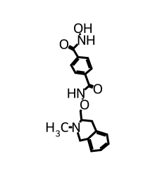 CN1Cc2ccccc2CC1CONC(=O)c1ccc(C(=O)NO)cc1